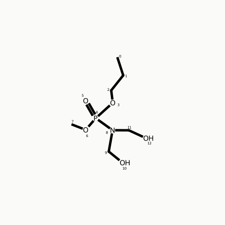 CCCOP(=O)(OC)N(CO)CO